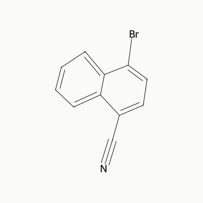 N#Cc1ccc(Br)c2ccccc12